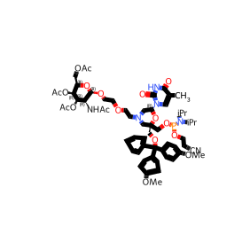 COc1ccc(C(OC[C@]2(COP(OCCC#N)N(C(C)C)C(C)C)CN(CCOCCO[C@@H]3O[C@H](COC(C)=O)[C@H](OC(C)=O)[C@H](OC(C)=O)[C@H]3NC(C)=O)C[C@H](n3cc(C)c(=O)[nH]c3=O)O2)(c2ccccc2)c2ccc(OC)cc2)cc1